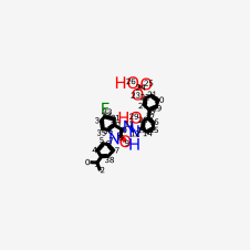 CC(C)c1ccc(N2C(=O)C(=NNc3cccc(-c4cccc(OC(=O)O)c4)c3O)c3cc(F)ccc32)cc1